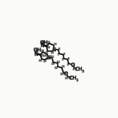 CCOCCCCCCN1CCC(=NO)CC1.CCOCCCCCCN1CCC(=NO)CC1